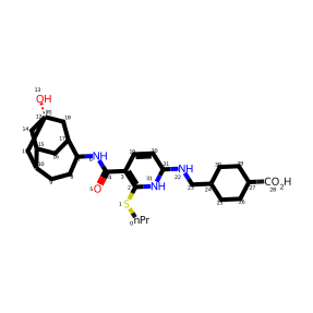 CCCSC1=C(C(=O)NC2CCC3C[C@@]4(O)CC3CC2C4)C=CC(NCC2CCC(C(=O)O)CC2)N1